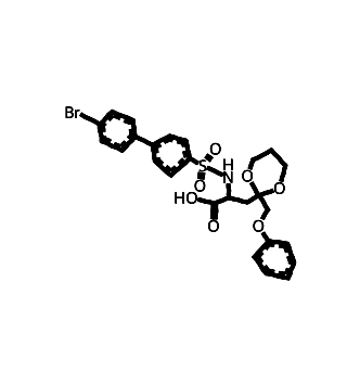 O=C(O)C(CC1(COc2ccccc2)OCCCO1)NS(=O)(=O)c1ccc(-c2ccc(Br)cc2)cc1